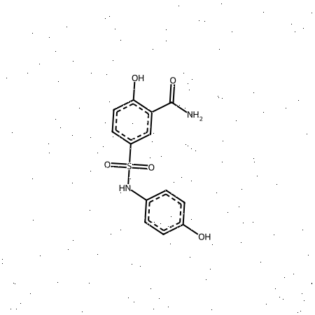 NC(=O)c1cc(S(=O)(=O)Nc2ccc(O)cc2)ccc1O